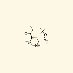 CC(C)(C)OC=O.CCC(=O)N1CCNC[C@H]1C